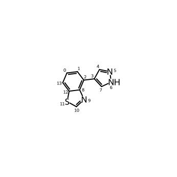 c1cc(-c2cn[nH]c2)c2ncsc2c1